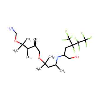 C=C(COC(C)(C)CC(C)NC(CO)CC(F)(C(F)(F)F)C(F)(F)C(F)(F)F)C(C)C(C)(C)OCN